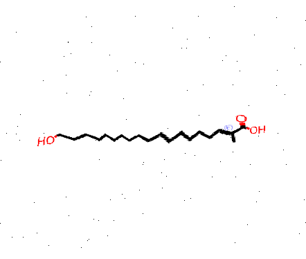 C/C(=C\CCCCCCCCCCCCCCCCO)C(=O)O